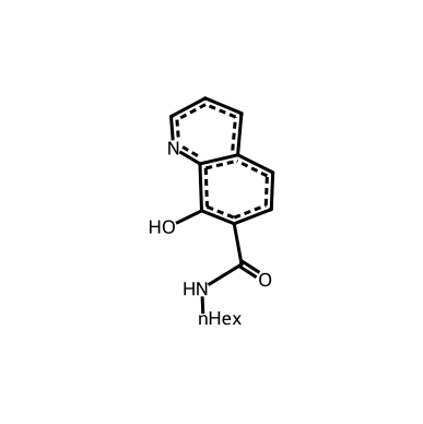 CCCCCCNC(=O)c1ccc2cccnc2c1O